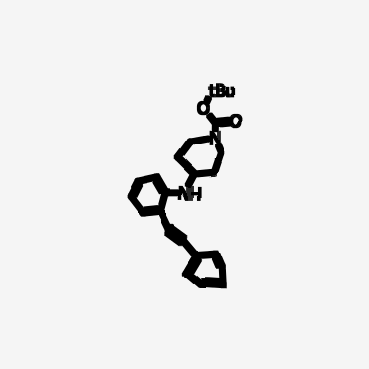 CC(C)(C)OC(=O)N1CCC(Nc2ccccc2C#Cc2ccccc2)CC1